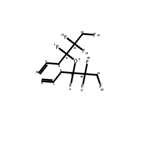 C=CCC(F)(OC(F)(CC=C)C(F)(F)CF)C(F)(F)CF